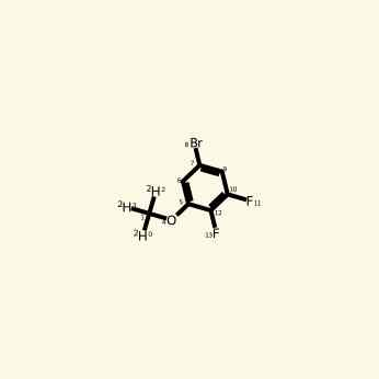 [2H]C([2H])([2H])Oc1cc(Br)cc(F)c1F